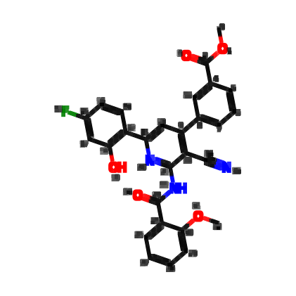 COC(=O)c1cccc(-c2cc(-c3ccc(F)cc3O)nc(NC(=O)c3ccccc3OC)c2C#N)c1